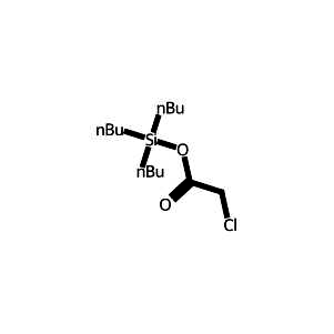 CCCC[Si](CCCC)(CCCC)OC(=O)CCl